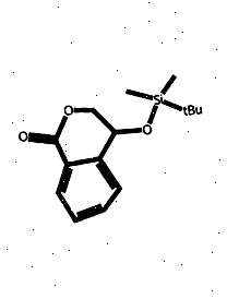 CC(C)(C)[Si](C)(C)OC1COC(=O)c2ccccc21